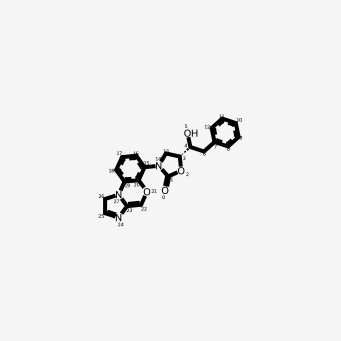 O=C1O[C@@H](C(O)Cc2ccccc2)CN1c1cccc2c1OC=C1N=CCN12